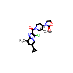 CO[C@@H]1CN(C(=O)c2nc3c(C(F)(F)F)cc(C4CC4)cn3c2Cl)CC[C@H]1N1CCOC1=O